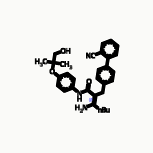 CCCC/C(N)=C(\Cc1ccc(-c2ccccc2C#N)cc1)C(=O)Nc1ccc(OC(C)(C)CO)cc1